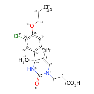 CC(C)C1=CN(CCC(=O)O)C(=O)N[C@@]1(C)c1ccc(OCCC(F)(F)F)c(Cl)c1